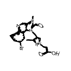 Cc1nn(CC(=O)O)cc1-n1c(=O)n(C)c2cnc3ccc(Br)cc3c21